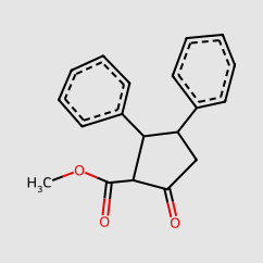 COC(=O)C1C(=O)CC(c2ccccc2)C1c1ccccc1